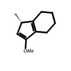 COC1=C[C@H](C)C2=C1CCCC2